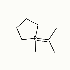 CC(C)=P1(C)CCCC1